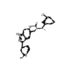 Cc1cc(-c2n[nH]c3cc4c(cc23)CN([C@@H](C)c2cccc(Cl)c2)C(=O)N4)ccn1